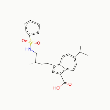 CC(C)c1ccc2c(CC[C@H](C)CNS(=O)(=O)c3ccccc3)cc(C(=O)O)c-2cc1